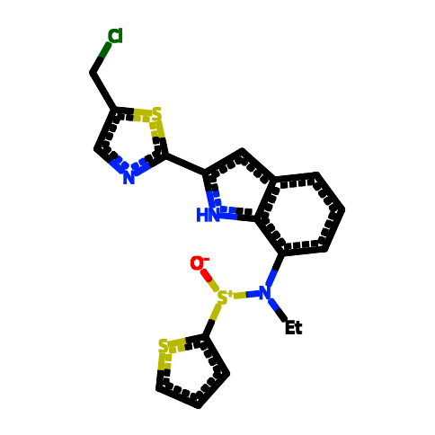 CCN(c1cccc2cc(-c3ncc(CCl)s3)[nH]c12)[S+]([O-])c1cccs1